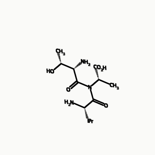 CC(C)[C@H](N)C(=O)N(C(=O)[C@@H](N)[C@@H](C)O)[C@@H](C)C(=O)O